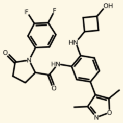 Cc1noc(C)c1-c1ccc(NC2CC(O)C2)c(NC(=O)C2CCC(=O)N2c2ccc(F)c(F)c2)c1